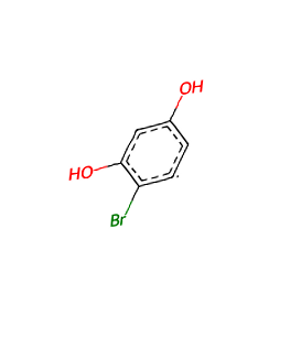 Oc1c[c]c(Br)c(O)c1